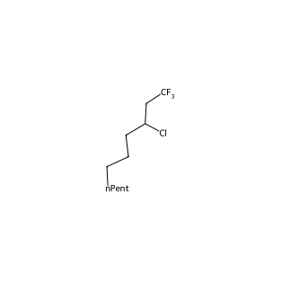 CCCCCCCCC(Cl)CC(F)(F)F